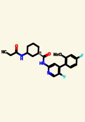 COc1cc(F)ccc1-c1cc(NC(=O)[C@H]2CCCC(NC(=O)CC#N)C2)ncc1F